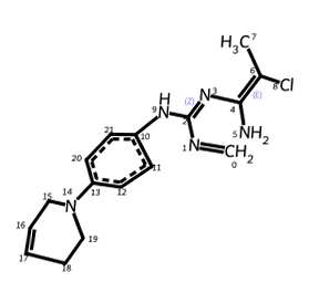 C=N/C(=N\C(N)=C(/C)Cl)Nc1ccc(N2CC=CCC2)cc1